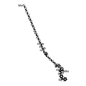 COCCOCCOCCOCCOCCOCCOCCOCCOCOCCCOCCOCCNC(=O)CNCC(=O)NCCn1cc(COCCOCCOCCONC(=O)c2ncn(-c3ncc(OC)c4c(C(=O)C(=O)N5CCC(=C(C#N)c6ccccc6)CC5)c[nH]c34)n2)nn1